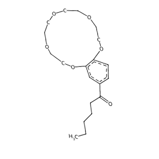 CCCCCC(=O)c1ccc2c(c1)OCCOCCOCCOCCO2